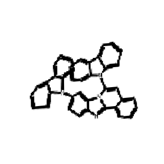 c1ccc2c(c1)cc(-n1c3ccccc3c3ccccc31)n1c3cc(-n4c5ccccc5c5ccccc54)ccc3nc21